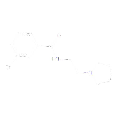 CCc1cccc(C(=O)NCCN2CCCC2)c1